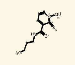 O=C(NCCCO)c1cccn(O)c1=S